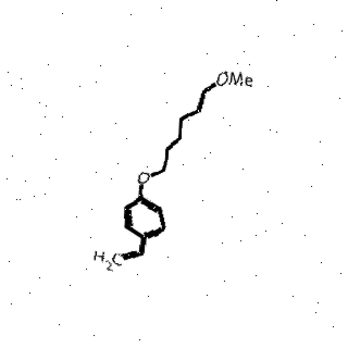 C=Cc1ccc(OCCCCCCOC)cc1